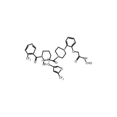 CCC[C@H]1N(C(=O)c2cnccc2C(F)(F)F)CCC[C@@]1(Oc1csc(C(F)(F)F)c1)C(=O)N1CCN(c2ccccc2OCC(=O)NC=O)CC1